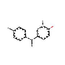 Cc1ccc(C(C)c2ccc(O)c(C(=O)O)c2)cc1